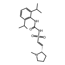 CC(C)c1cccc(C(C)C)c1NC(=O)NS(=O)(=O)/C=C/[C@@H]1CCCN1C